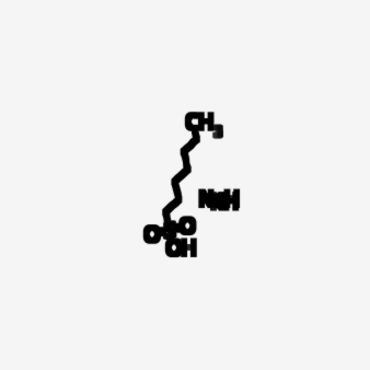 CCCCCCCS(=O)(=O)O.[KH].[NaH]